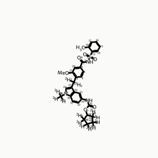 [2H]C([2H])(c1ccc(C(=O)NS(=O)(=O)c2ccccc2C)cc1OC)c1cn(C([2H])([2H])[2H])c2ccc(NC(=O)OC3C([2H])([2H])C([2H])([2H])C([2H])([2H])C3([2H])[2H])cc12